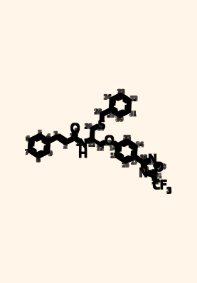 O=C(C=Cc1ccccc1)N[C@H](COc1ccc(-c2noc(C(F)(F)F)n2)cc1)CSCc1ccccc1